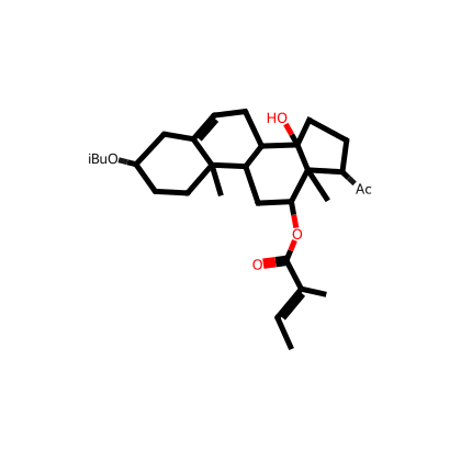 C/C=C(\C)C(=O)OC1CC2C(CC=C3CC(OCC(C)C)CCC32C)C2(O)CCC(C(C)=O)C12C